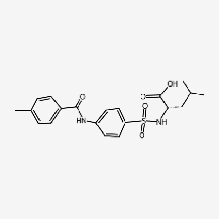 Cc1ccc(C(=O)Nc2ccc(S(=O)(=O)N[C@@H](CC(C)C)C(=O)O)cc2)cc1